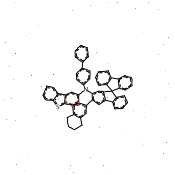 c1ccc(-c2ccc(N(c3ccc4sc5ccccc5c4c3)c3cc4c(cc3-c3ccc5c(c3)CCCC5)-c3ccccc3C43c4ccccc4-c4ccccc43)cc2)cc1